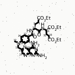 CCOC(=O)CC[C@H](NC(=O)c1ccc(N(C)Cc2cnc3nc(N)nc(N)c3n2)cc1)C(=O)N[C@@H](CCC(=O)OCC)C(=O)OCC